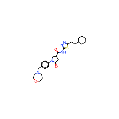 O=C(Nc1nnc(CCC2CCCCC2)s1)C1CC(=O)N(c2ccc(CN3CCCOCC3)cc2)C1